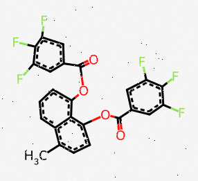 Cc1ccc(OC(=O)c2cc(F)c(F)c(F)c2)c2c(OC(=O)c3cc(F)c(F)c(F)c3)cccc12